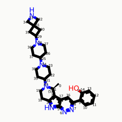 C[C@H]1c2c([nH]c3nnc(-c4ccccc4O)cc23)CCN1C1CCN(C2CCN(C3CC4(CNC4)C3)CC2)CC1